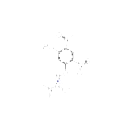 CN(C)/[N+]([O-])=N/Oc1cc(O)c([N+](C)=O)cc1[N+](=O)[O-]